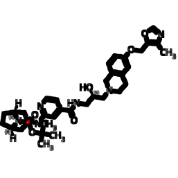 Cc1ncoc1COc1ccc2c(c1)CCN(C[C@@H](O)CNC(=O)c1ccnc(N[C@H]3C[C@H]4CC[C@@H](C3)N4C(=O)OC(C)(C)C)c1)C2